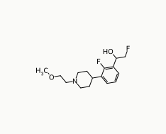 COCCN1CCC(c2cccc(C(O)CF)c2F)CC1